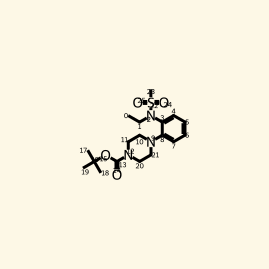 CCN(c1ccccc1N1CCN(C(=O)OC(C)(C)C)CC1)S(C)(=O)=O